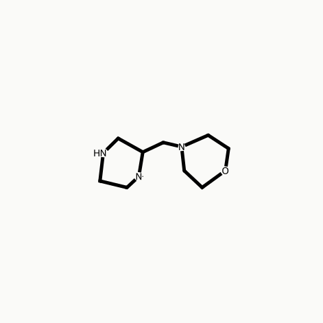 C1CNCC(CN2CCOCC2)[N]1